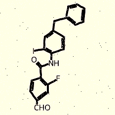 O=Cc1ccc(C(=O)Nc2ccc(Cc3ccccc3)cc2I)c(F)c1